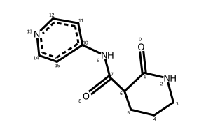 O=C1NCCCC1C(=O)Nc1ccncc1